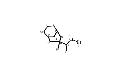 CCOC(C)C1(C)CC2CCCC(C2)C1